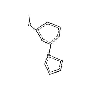 COc1cccc(-n2cccc2)c1